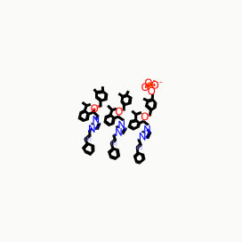 Cc1ccc(COC(Cn2cc[n+](C/C=C/c3ccccc3)c2)c2ccccc2C(C)C)cc1C.Cc1ccc(COC(Cn2cc[n+](C/C=C/c3ccccc3)c2)c2ccccc2C(C)C)cc1C.Cc1ccc(COC(Cn2cc[n+](C/C=C/c3ccccc3)c2)c2ccccc2C(C)C)cc1C.O=P([O-])([O-])[O-]